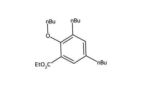 CCCCOc1c(CCCC)cc(CCCC)cc1C(=O)OCC